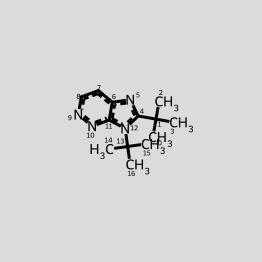 CC(C)(C)c1nc2ccnnc2n1C(C)(C)C